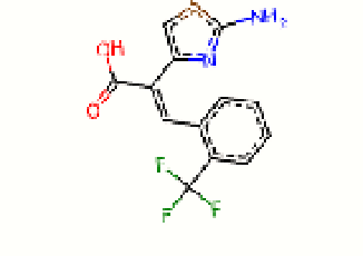 Nc1nc(C(=Cc2ccccc2C(F)(F)F)C(=O)O)cs1